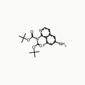 CC(C)(C)OC(=O)N(C(=O)OC(C)(C)C)c1nccc2cc(N)cc(F)c12